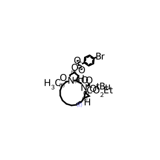 CCOC(=O)[C@@]12C[C@H]1/C=C\CCCCC[C@H](C)C(=O)N1C[C@@H](OS(=O)(=O)c3ccc(Br)cc3)C[C@H]1C(=O)N2C(=O)OC(C)(C)C